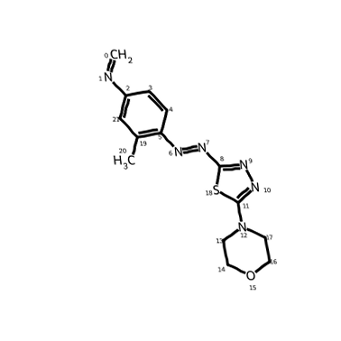 C=Nc1ccc(/N=N/c2nnc(N3CCOCC3)s2)c(C)c1